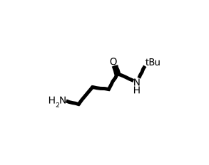 CC(C)(C)NC(=O)CCCN